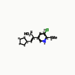 CSc1ncc(C(=CC2CCCC2)C(=O)O)cc1Cl